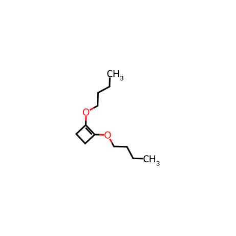 CCCCOC1=C(OCCCC)CC1